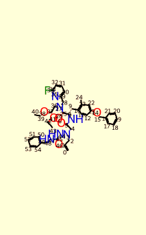 C=CCN(CC(=O)N[C@@H](Cc1ccc(OCc2ccccc2)cc1C)C(=O)N(Cc1cccc(F)n1)CC(OCC)OCC)NC(=O)NCc1ccccc1